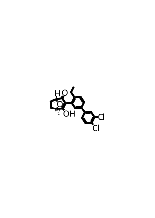 CCc1ccc(-c2ccc(Cl)c(Cl)c2)cc1C1=C(O)[C@@]2(C)CC[C@H](O2)C1=O